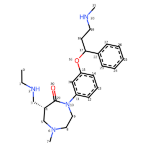 CCNC[C@H]1CN(C)CCN(c2cccc(OC(CCNC)c3ccccc3)c2)C1=O